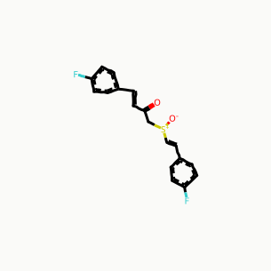 O=C(/C=C/c1ccc(F)cc1)C[S+]([O-])/C=C/c1ccc(F)cc1